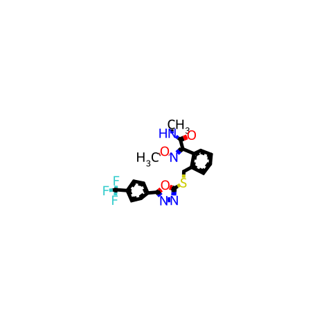 CNC(=O)C(=NOC)c1ccccc1CSc1nnc(-c2ccc(C(F)(F)F)cc2)o1